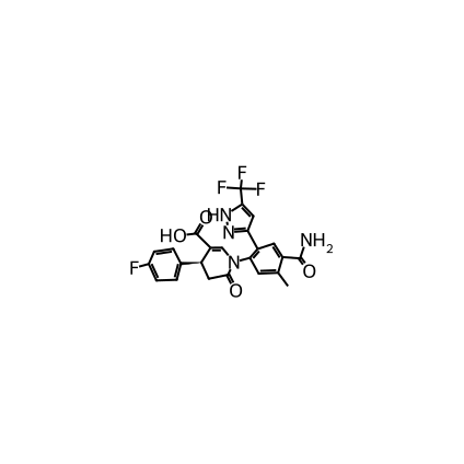 Cc1cc(N2C=C(C(=O)O)[C@H](c3ccc(F)cc3)CC2=O)c(-c2cc(C(F)(F)F)[nH]n2)cc1C(N)=O